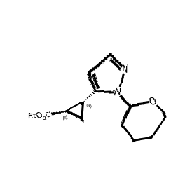 CCOC(=O)[C@@H]1C[C@H]1c1ccnn1C1CCCCO1